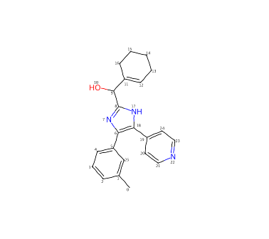 Cc1cccc(-c2nc(C(O)C3=CCCCC3)[nH]c2-c2ccncc2)c1